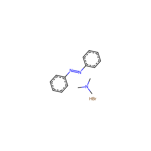 Br.CN(C)C.c1ccc(N=Nc2ccccc2)cc1